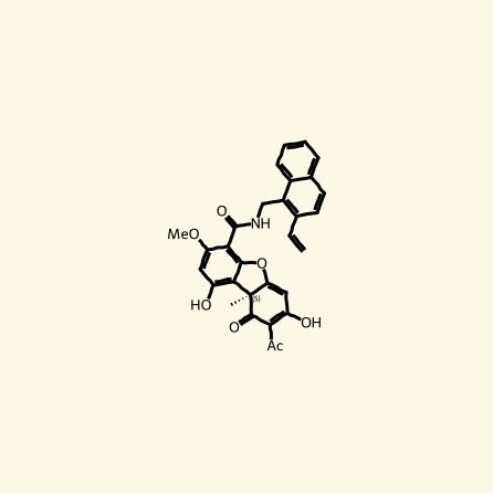 C=Cc1ccc2ccccc2c1CNC(=O)c1c(OC)cc(O)c2c1OC1=CC(O)=C(C(C)=O)C(=O)[C@]12C